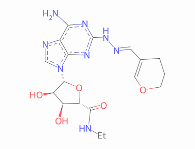 CCNC(=O)[C@H]1O[C@@H](n2cnc3c(N)nc(N/N=C/C4=COCCC4)nc32)[C@H](O)[C@@H]1O